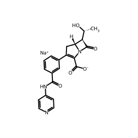 C[C@@H](O)[C@H]1C(=O)N2C(C(=O)[O-])=C(c3cccc(C(=O)Nc4ccncc4)c3)C[C@H]12.[Na+]